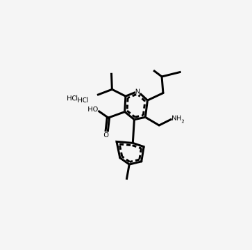 Cc1ccc(-c2c(CN)c(CC(C)C)nc(C(C)C)c2C(=O)O)cc1.Cl.Cl